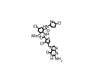 COc1cc(Cl)cc(C(=O)Nc2ccc(Cl)cn2)c1NC(=O)c1scc(Cn2cnc3nc(N)[nH]c(=O)c32)c1Cl